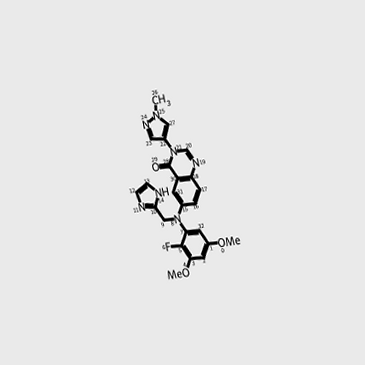 COc1cc(OC)c(F)c(N(Cc2ncc[nH]2)c2ccc3ncn(-c4cnn(C)c4)c(=O)c3c2)c1